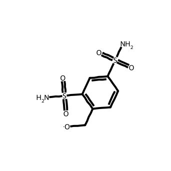 NS(=O)(=O)c1ccc(C[O])c(S(N)(=O)=O)c1